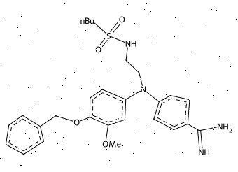 CCCCS(=O)(=O)NCCN(c1ccc(C(=N)N)cc1)c1ccc(OCc2ccccc2)c(OC)c1